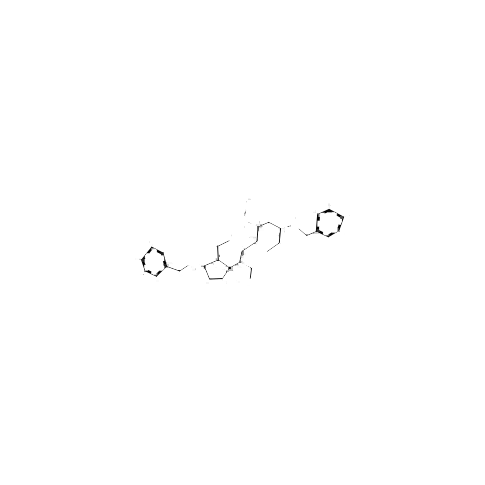 C[C@]12CC[C@H]([C@H]3CC[C@H](OCc4ccccc4)C[C@@H]3OC=O)[C@@H](CI)[C@@H]1CC[C@@H]2OCc1ccccc1